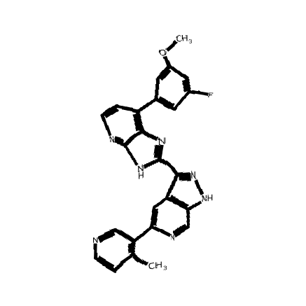 COc1cc(F)cc(-c2ccnc3[nH]c(-c4n[nH]c5cnc(-c6cnccc6C)cc45)nc23)c1